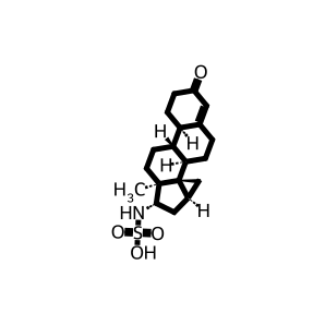 C[C@]12CC[C@H]3[C@@H](CCC4=CC(=O)CC[C@@H]43)[C@@]13C[C@H]3C[C@@H]2NS(=O)(=O)O